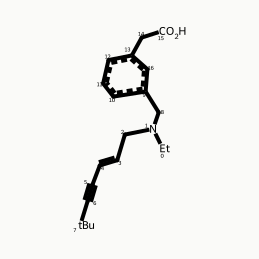 CCN(CC=CC#CC(C)(C)C)Cc1cccc(CC(=O)O)c1